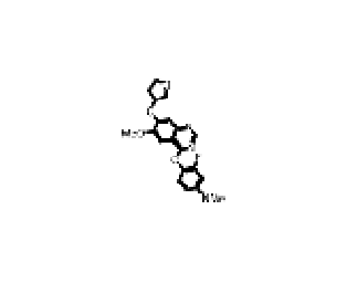 CNc1ccc(Oc2ncnc3cc(OC4CCOC4)c(OC)cc23)c(F)c1